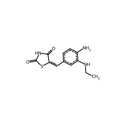 CCNc1cc(C=C2SC(=O)NC2=O)ccc1N